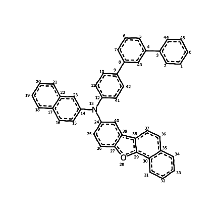 c1ccc(-c2cccc(-c3ccc(N(c4ccc5ccccc5c4)c4ccc5oc6c7ccccc7ccc6c5c4)cc3)c2)cc1